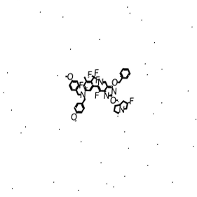 COc1ccc(CN(Cc2ccc(OC)cc2)c2cc(-c3ncc4c(OCc5ccccc5)nc(OC[C@@]56CCCN5C[C@H](F)C6)nc4c3F)c(C(F)(F)F)c(C)c2F)cc1